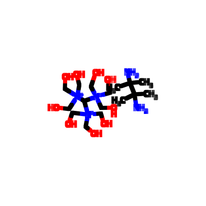 CC(C)(N)C(C)(C)N.OC[N+](CO)(CO)C([N+](CO)(CO)CO)[N+](CO)(CO)CO